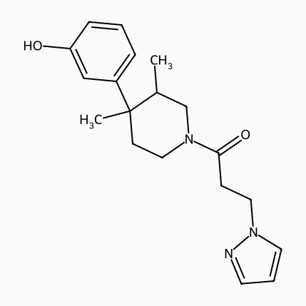 CC1CN(C(=O)CCn2cccn2)CCC1(C)c1cccc(O)c1